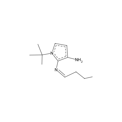 CCC/C=N\c1c(N)ccn1C(C)(C)C